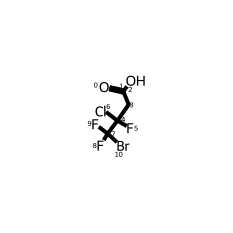 O=C(O)CC(F)(Cl)C(F)(F)Br